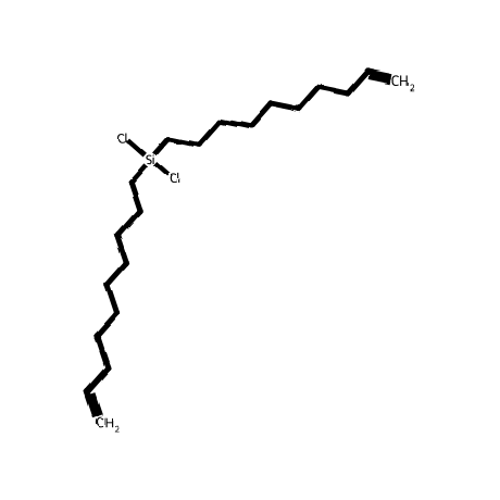 C=CCCCCCCCC[Si](Cl)(Cl)CCCCCCCCC=C